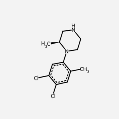 Cc1cc(Cl)c(Cl)cc1N1CCNC[C@@H]1C